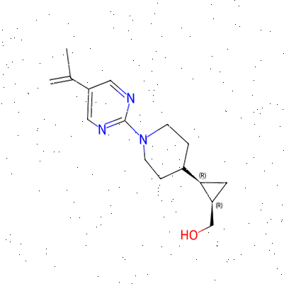 C=C(C)c1cnc(N2CCC([C@H]3C[C@H]3CO)CC2)nc1